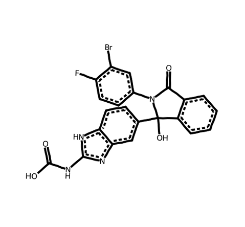 O=C(O)Nc1nc2cc(C3(O)c4ccccc4C(=O)N3c3ccc(F)c(Br)c3)ccc2[nH]1